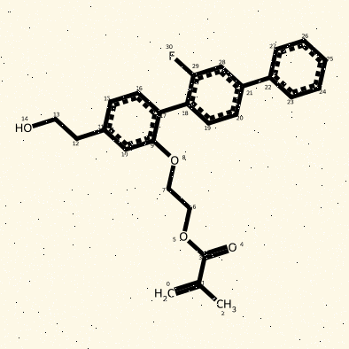 C=C(C)C(=O)OCCOc1cc(CCO)ccc1-c1ccc(-c2ccccc2)cc1F